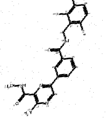 CNC(=O)c1nc(-c2cccc(C(=O)NCc3c(F)ccc(F)c3F)c2)cnc1N